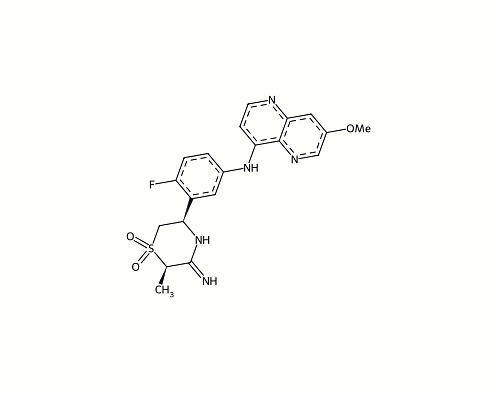 COc1cnc2c(Nc3ccc(F)c([C@@H]4CS(=O)(=O)[C@H](C)C(=N)N4)c3)ccnc2c1